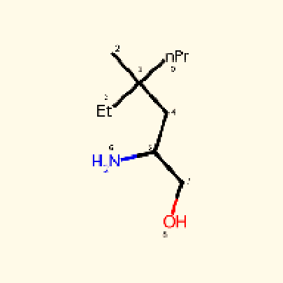 CCCC(C)(CC)CC(N)CO